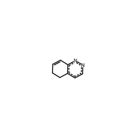 C1=Cc2nnccc2CC1